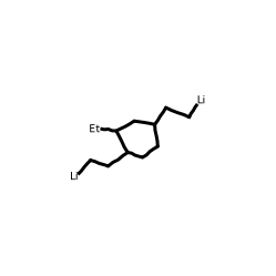 [Li][CH2]CC1CCC(C[CH2][Li])C(CC)C1